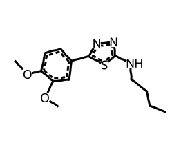 CCCCNc1nnc(-c2ccc(OC)c(OC)c2)s1